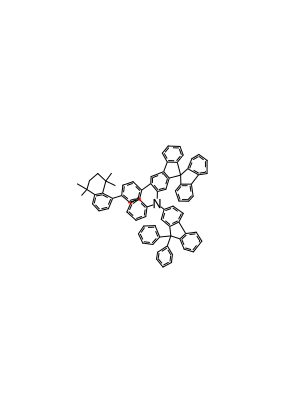 CC1(C)CCC(C)(C)c2c(-c3ccc(-c4cc5c(cc4N(c4ccccc4)c4ccc6c(c4)C(c4ccccc4)(c4ccccc4)c4ccccc4-6)C4(c6ccccc6-c6ccccc64)c4ccccc4-5)cc3)cccc21